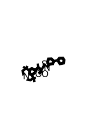 Cc1c(-c2nc3cc(-c4ccccc4)ccc3s2)c(=O)oc2c3c4c(cc12)C(C)(C)CCN4CCC3(C)C